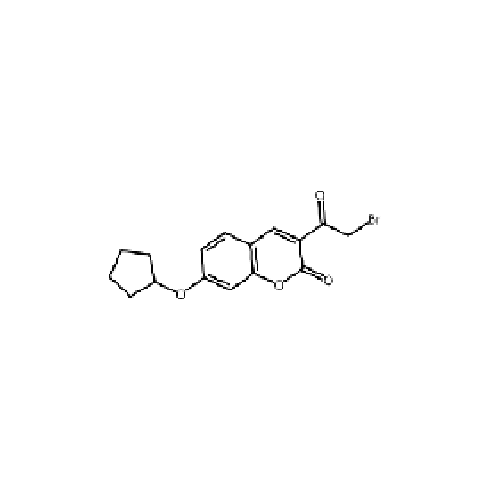 O=C(CBr)c1cc2ccc(OC3CCCC3)cc2oc1=O